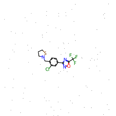 FC(F)(F)c1nc(-c2ccc(CN3CCCS3)c(Cl)c2)no1